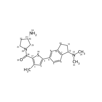 Cc1cc(-c2ccc3c(c2)CCC3N(C)C)sc1C(=O)N1CC[C@H](N)C1